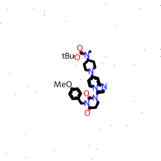 COc1ccc(CN2C(=O)CCN(c3cnc4cc(N5CCC(N(C)C(=O)OC(C)(C)C)CC5)ccn34)C2=O)cc1